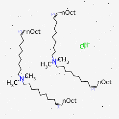 CCCCCCCC/C=C\CCCCCCCC[N+](C)(C)CCCCCCCC/C=C\CCCCCCCC.CCCCCCCC/C=C\CCCCCCCC[N+](C)(C)CCCCCCCC/C=C\CCCCCCCC.[Cl-].[Cl-]